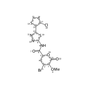 COc1c(Br)cc(C(=O)Nc2nnc(-c3sccc3Cl)s2)oc1=O